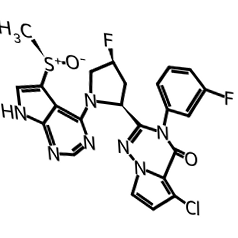 C[S@@+]([O-])c1c[nH]c2ncnc(N3C[C@@H](F)C[C@H]3c3nn4ccc(Cl)c4c(=O)n3-c3cccc(F)c3)c12